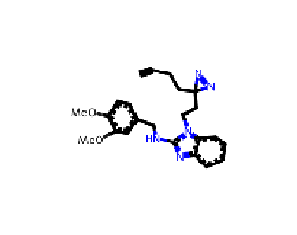 C#CCCC1(CCn2c(NCc3ccc(OC)c(OC)c3)nc3ccccc32)N=N1